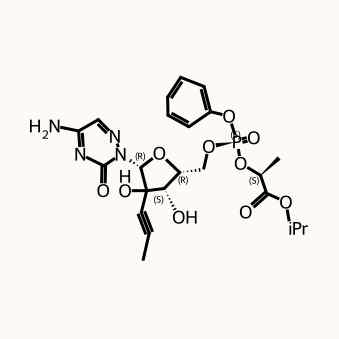 CC#CC1(O)[C@@H](O)[C@@H](CO[P@](=O)(Oc2ccccc2)O[C@@H](C)C(=O)OC(C)C)O[C@H]1n1ncc(N)nc1=O